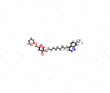 O=c1cc(COC2CCCCO2)occ1OCCCCCCCCSc1ccnc2cc(C(F)(F)F)ccc12